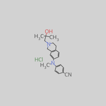 CN(c1ccc(C#N)cc1)c1ccc2c(c1)CN(CC(C)(C)O)CC2.Cl